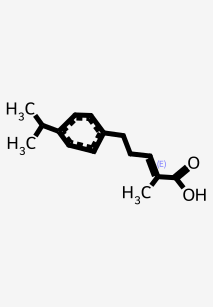 C/C(=C\CCc1ccc(C(C)C)cc1)C(=O)O